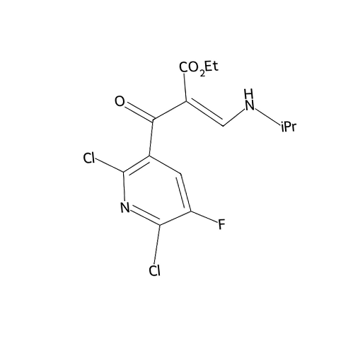 CCOC(=O)C(=CNC(C)C)C(=O)c1cc(F)c(Cl)nc1Cl